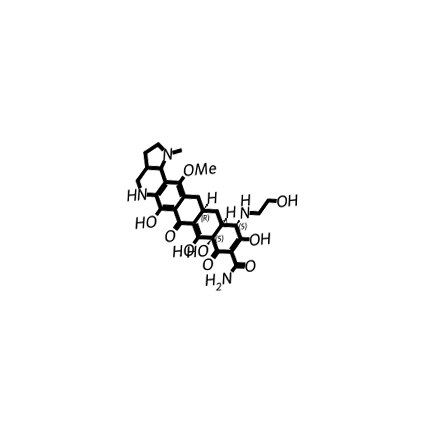 COc1c2c(c(O)c3c1C1C(CCN1C)CN3)C(=O)C1=C(O)[C@]3(O)C(=O)C(C(N)=O)=C(O)[C@@H](NCCO)[C@@H]3C[C@@H]1C2